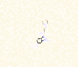 Nc1ccc2c(NCCCN3CCOCC3)n[nH]c2c1